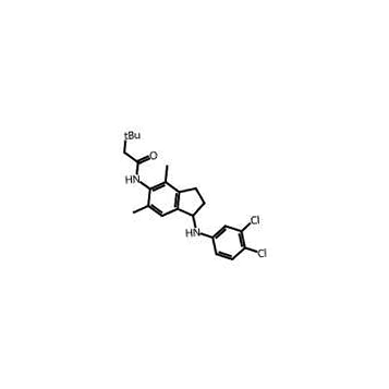 Cc1cc2c(c(C)c1NC(=O)CC(C)(C)C)CCC2Nc1ccc(Cl)c(Cl)c1